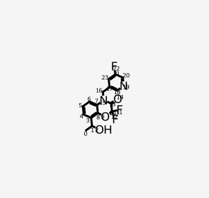 CC(O)c1cccc2c1OC(F)(F)C(=O)N2Cc1cncc(F)c1